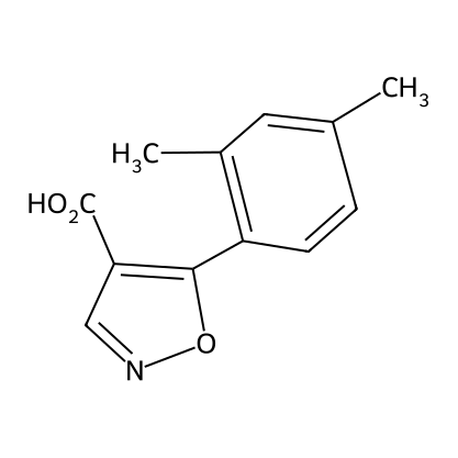 Cc1ccc(-c2oncc2C(=O)O)c(C)c1